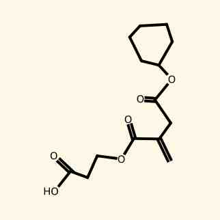 C=C(CC(=O)OC1CCCCC1)C(=O)OCCC(=O)O